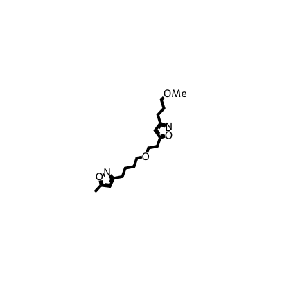 COCCCc1cc(CCOCCCCc2cc(C)on2)on1